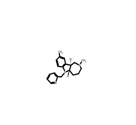 Cc1ccc2c(c1)[C@H]1CN(C)CCC[C@@H]1N2Cc1ccccn1